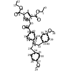 CCOC(=O)C1=CC(C(=O)OCC)N=[N+]1CC(=O)c1cnc(N(Cc2ccc(OC)cc2)Cc2ccc(OC)cc2)nc1